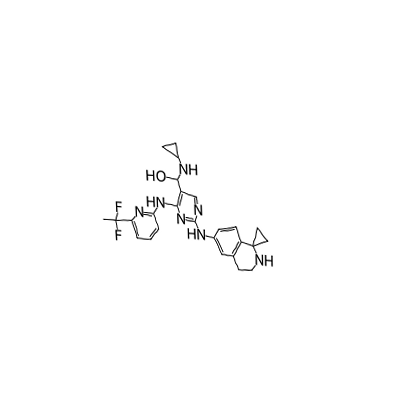 CC(F)(F)c1cccc(Nc2nc(Nc3ccc4c(c3)CCNC43CC3)ncc2C(O)NC2CC2)n1